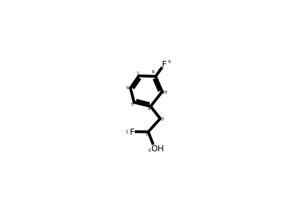 OC(F)Cc1cccc(F)c1